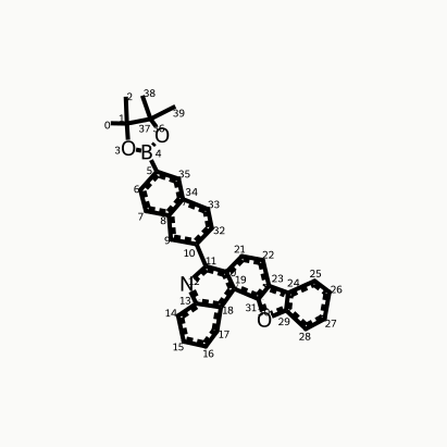 CC1(C)OB(c2ccc3cc(-c4nc5ccccc5c5c4ccc4c6ccccc6oc45)ccc3c2)OC1(C)C